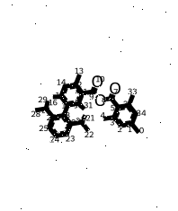 Cc1cc(C)c(C(=O)OC(=O)c2c(C)cc(C)c(-c3c(C(C)C)cccc3C(C)C)c2C)c(C)c1